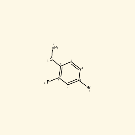 CCCSc1ccc(Br)cc1F